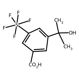 CC(C)(O)c1cc(C(=O)O)cc(S(F)(F)(F)(F)F)c1